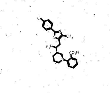 Cc1nc(-c2ccc(Cl)cc2)sc1CC(N)[C@@H]1CCCN(c2ccccc2C(=O)O)C1